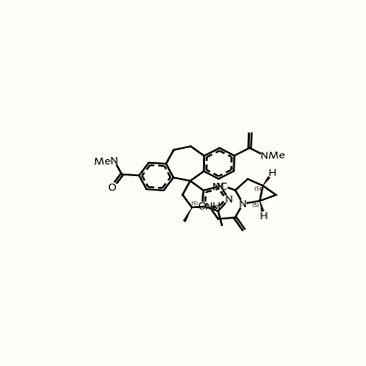 C=C(NC)c1ccc2c(c1)CCc1cc(C(=O)NC)ccc1C2(C[C@H](C)NCC(=C)N1C(C#N)C[C@@H]2C[C@@H]21)c1nnc(C)o1